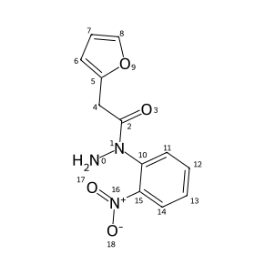 NN(C(=O)Cc1ccco1)c1ccccc1[N+](=O)[O-]